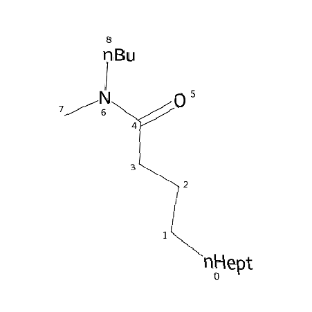 CCCCCCCCCCC(=O)N(C)CCCC